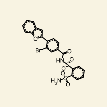 NS(=O)(=O)c1ccccc1S(=O)(=O)NC(=O)c1ccc(-c2cc3ccccc3o2)c(Br)c1